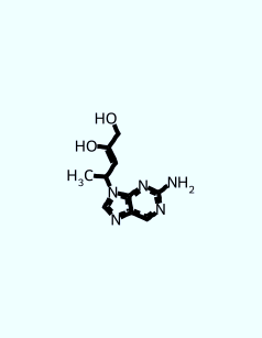 CC(C=C(O)CO)n1cnc2cnc(N)nc21